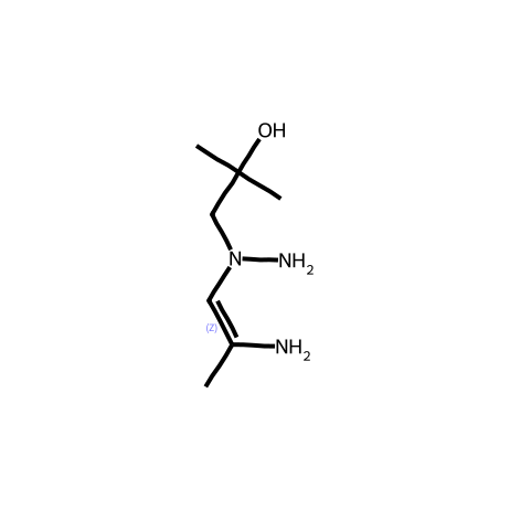 C/C(N)=C/N(N)CC(C)(C)O